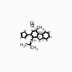 C[C](C)=[Zr+2][c]1c(C2=CC=CC2)cc(C)c2c1Cc1ccccc1-2.[Cl-].[Cl-]